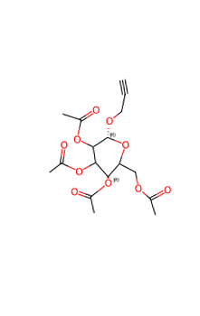 C#CCO[C@@H]1OC(COC(C)=O)[C@@H](OC(C)=O)C(OC(C)=O)C1OC(C)=O